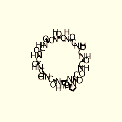 CCCC1NC(=O)CNC(=O)CNC(=O)CNC(=O)CNC(=O)CNC(=O)CNC(=O)CNC(=O)CNC(=O)CNC(=O)CC(C(=O)N2CCCC2)NC1=O